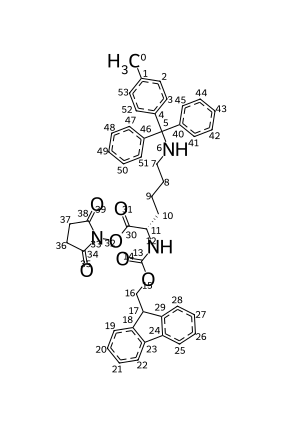 Cc1ccc(C(NCCCC[C@H](NC(=O)OCC2c3ccccc3-c3ccccc32)C(=O)ON2C(=O)CCC2=O)(c2ccccc2)c2ccccc2)cc1